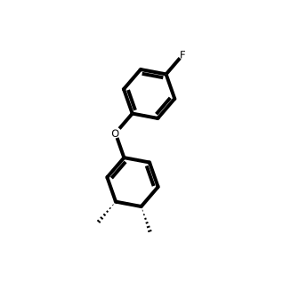 C[C@@H]1C=C(Oc2ccc(F)cc2)C=C[C@@H]1C